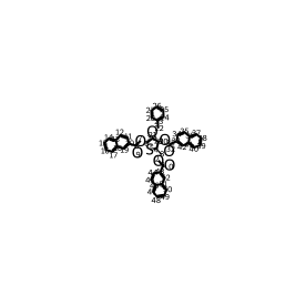 O=C(OC[C@H]1SC(OC(=O)c2ccc3ccccc3c2)[C@H](OCc2ccccc2)[C@H]1OC(=O)c1ccc2ccccc2c1)c1ccc2ccccc2c1